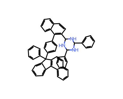 c1ccc(C2NC(c3ccccc3)NC(c3ccc4ccccc4c3-c3ccc(C4(c5ccccc5)c5ccccc5-c5c4ccc4ccccc54)cc3)N2)cc1